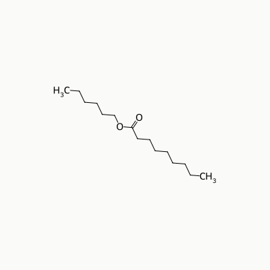 CCCCCCCCC(=O)OCCCCCC